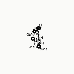 COc1cc(Nc2nc(NCCNCc3c4ccc(Cl)cc4nc4ccc(OC)cc34)nc(NC3CCCCC3)n2)cc(OC)c1